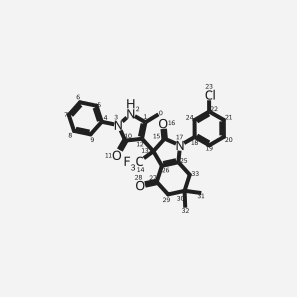 Cc1[nH]n(-c2ccccc2)c(=O)c1C1(C(F)(F)F)C(=O)N(c2cccc(Cl)c2)C2=C1C(=O)CC(C)(C)C2